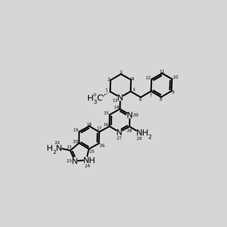 C[C@@H]1CC[CH]C(Cc2ccccc2)N1c1cc(-c2ccc3c(N)n[nH]c3c2)nc(N)n1